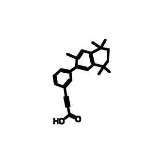 Cc1cc2c(cc1-c1cccc(C#CC(=O)O)c1)C(C)(C)CCC2(C)C